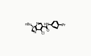 CCCCn1cnc2c(Cl)c(C(=O)Nc3ccc(C(C)C)cc3)cnc21